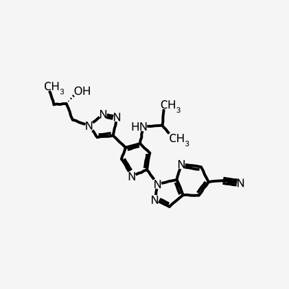 CC[C@H](O)Cn1cc(-c2cnc(-n3ncc4cc(C#N)cnc43)cc2NC(C)C)nn1